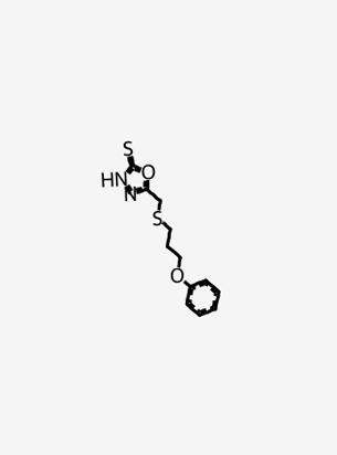 S=c1[nH]nc(CSCCCOc2ccccc2)o1